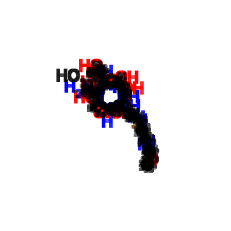 C[C@@H](O)[C@@H]1NC(=O)[C@@H](NCC2CCN(c3nnc(-c4ccc(-c5cnc(N6CCC(OC7CCCCC7)CC6)nc5)cc4)s3)CC2)C[C@@H](O)CNC(=O)[C@@H]2[C@@H](O)[C@@H](C)CN2C(=O)[C@H]([C@H](O)CC(N)=O)NC(=O)[C@H]([C@H](O)Cc2ccc(O)c(OS(=O)(=O)O)c2)NC(=O)[C@@H]2C[C@@H](O)CN2C1=O